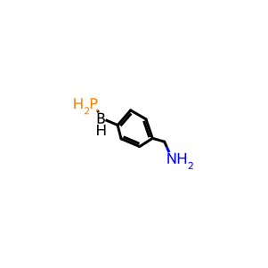 NCc1ccc(BP)cc1